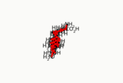 CC[C@H](C)[C@H](NC(=O)[C@H](Cc1c[nH]cn1)NC(=O)[C@H](Cc1ccc(O)cc1)NC(=O)[C@H](Cc1c[nH]cn1)NC(=O)[C@H](Cc1ccc(O)cc1)NC(=O)[C@H](Cc1c[nH]cn1)NC(=O)[C@H](Cc1c[nH]cn1)NC(=O)[C@H](CC(N)=O)NC(=O)[C@@H](NC(=O)[C@@H]1CCCN1C(=O)[C@H](CO)NC(=O)[C@@H](N)CCC(N)=O)C(C)C)C(=O)NCC(=O)N[C@@H](CS)C(=O)NCC(=O)N[C@@H](CCCCN)C(=O)O